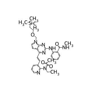 CCN(c1ncccc1/C=C/c1nc(Nc2ccccc2C(=O)NC)nc2c1ccn2COCC[Si](C)(C)C)S(C)(=O)=O